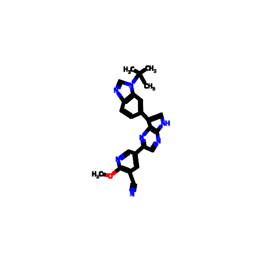 COc1ncc(-c2cnc3[nH]cc(-c4ccc5ncn(C(C)(C)C)c5c4)c3n2)cc1C#N